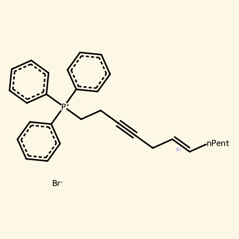 CCCCC/C=C/CC#CCC[P+](c1ccccc1)(c1ccccc1)c1ccccc1.[Br-]